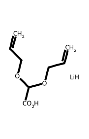 C=CCOC(OCC=C)C(=O)O.[LiH]